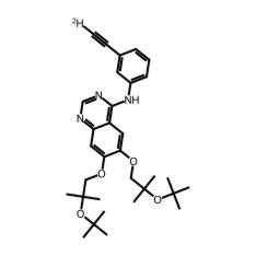 [2H]C#Cc1cccc(Nc2ncnc3cc(OCC(C)(C)OC(C)(C)C)c(OCC(C)(C)OC(C)(C)C)cc23)c1